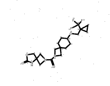 O=C1NC2(CO1)CN(C(=O)N1CC3(CCC(OCC4(C(F)(F)F)CC4)CC3)C1)C2